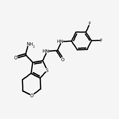 NC(=O)c1c(NC(=O)Nc2ccc(F)c(F)c2)sc2c1CCOC2